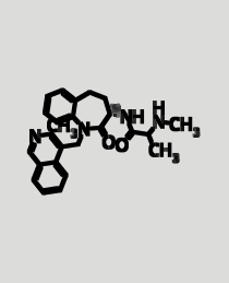 CNC(C)C(=O)N[C@H]1CCc2ccccc2N(Cc2c(C)ncc3ccccc23)C1=O